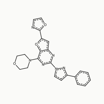 c1ccc(-c2ccn(-c3nc(N4CCOCC4)c4oc(-c5ncco5)cc4n3)n2)cc1